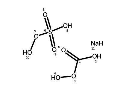 O=C(O)OO.O=S(=O)(O)OO.[NaH]